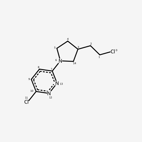 ClCCC1CCN(c2ccc(Cl)nn2)C1